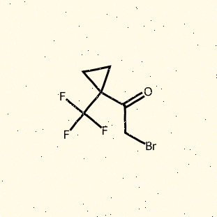 O=C(CBr)C1(C(F)(F)F)CC1